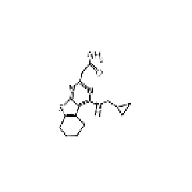 NC(=O)Cc1nc(NCC2CC2)c2c3c(sc2n1)CCCC3